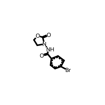 O=C(NN1CCOC1=O)c1ccc(Br)cc1